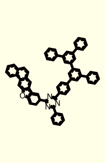 C1=c2oc3cc4c(ccc5ccccc54)cc3c2=CC(c2nc(-c3ccccc3)nc(-c3ccc(-c4cc(-c5ccccc5)cc(-c5cc(-c6ccccc6)cc(-c6ccccc6)c5)c4)cc3)n2)C1